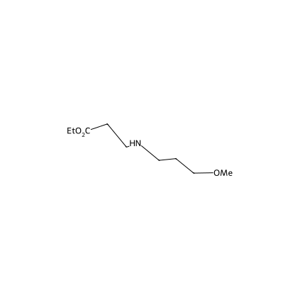 CCOC(=O)CCNCCCOC